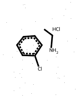 CCN.Cl.Clc1ccccc1